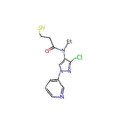 CCN(C(=O)CCS)c1cn(-c2cccnc2)nc1Cl